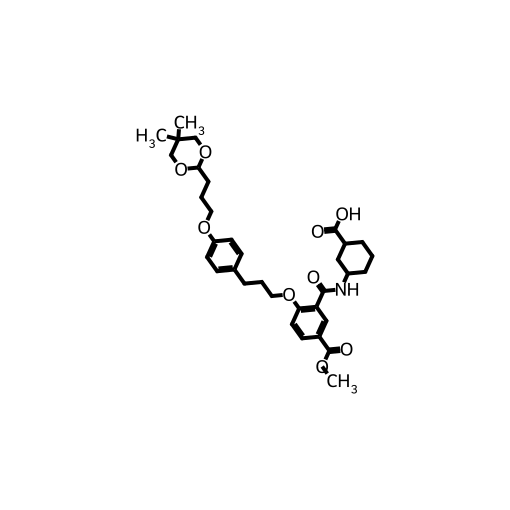 COC(=O)c1ccc(OCCCc2ccc(OCCCC3OCC(C)(C)CO3)cc2)c(C(=O)NC2CCCC(C(=O)O)C2)c1